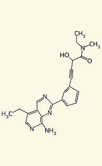 CCc1cnc(N)c2nc(-c3cccc(C#CC(O)C(=O)N(C)CC)c3)ncc12